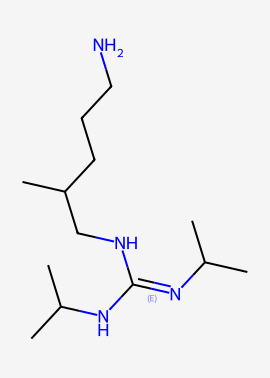 CC(CCCN)CN/C(=N\C(C)C)NC(C)C